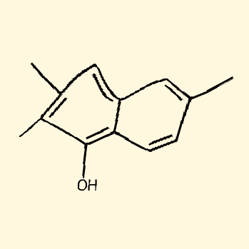 Cc1ccc2c(O)c(C)c(C)cc2c1